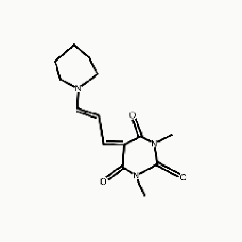 CN1C(=O)C(=C/C=C/N2CCCCC2)C(=O)N(C)C1=O